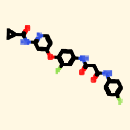 O=C(CC(=O)Nc1ccc(Oc2ccnc(NC(=O)C3CC3)c2)c(F)c1)Nc1ccc(F)cc1